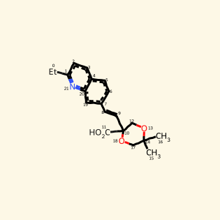 CCc1ccc2ccc(/C=C/C3(C(=O)O)COC(C)(C)CO3)cc2n1